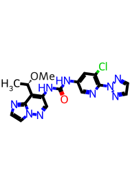 CO[C@@H](C)c1c(NC(=O)Nc2cnc(-n3nccn3)c(Cl)c2)cnn2ccnc12